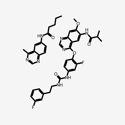 CCCCC(=O)Nc1ccc2ncnc(C)c2c1.COc1cc2ncnc(Oc3ccc(NC(=O)NCCc4cccc(F)c4)cc3F)c2cc1NC(=O)C(C)C